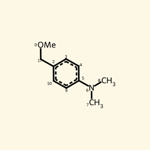 CO[CH]c1ccc(N(C)C)cc1